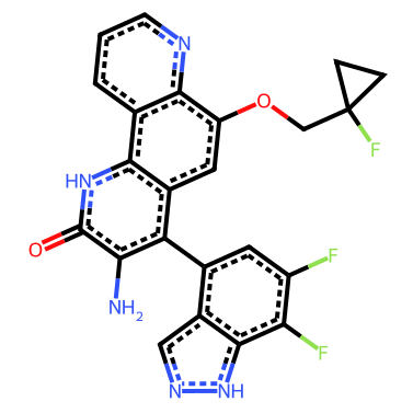 Nc1c(-c2cc(F)c(F)c3[nH]ncc23)c2cc(OCC3(F)CC3)c3ncccc3c2[nH]c1=O